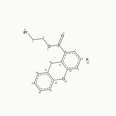 CC(C)CCOC(=O)c1cccc2c1Cc1ccccc1O2.[K]